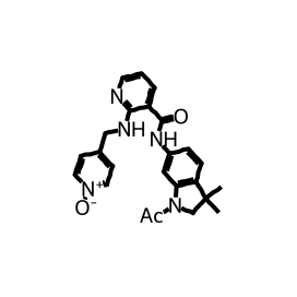 CC(=O)N1CC(C)(C)c2ccc(NC(=O)c3cccnc3NCc3cc[n+]([O-])cc3)cc21